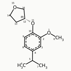 COc1cc(C(C)C)ccc1O[C@@H]1CCOC1